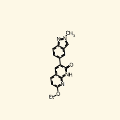 CCOc1ccc2cc(-c3ccc4nn(C)cc4c3)c(=O)[nH]c2n1